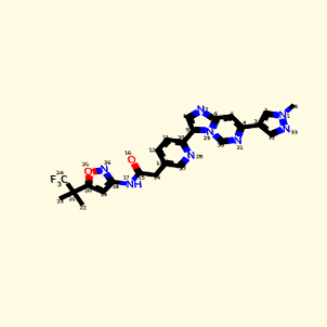 Cn1cc(-c2cc3ncc(-c4ccc(CC(=O)Nc5cc(C(C)(C)C(F)(F)F)on5)cn4)n3cn2)cn1